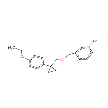 CCOc1ccc(C2(COCc3cccc(Br)c3)CC2)cc1